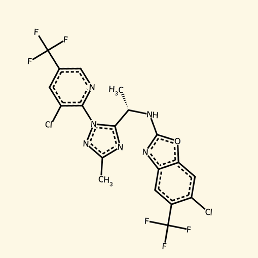 Cc1nc([C@H](C)Nc2nc3cc(C(F)(F)F)c(Cl)cc3o2)n(-c2ncc(C(F)(F)F)cc2Cl)n1